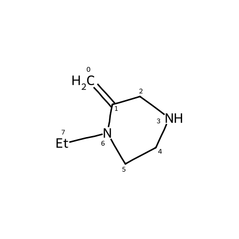 C=C1CNCCN1CC